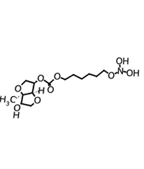 C[C@]12OC[C@@H](OC(=O)OCCCCCCON(O)O)[C@H]1OC[C@H]2O